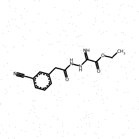 CCOC(=O)C(=N)NNC(=O)Cc1cccc(C#N)c1